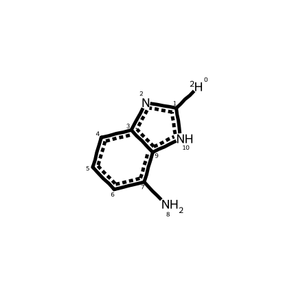 [2H]c1nc2cccc(N)c2[nH]1